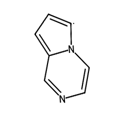 [c]1ccc2cnccn12